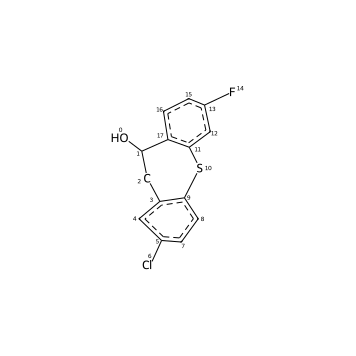 OC1Cc2cc(Cl)ccc2Sc2cc(F)ccc21